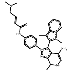 Cc1c(-c2c3c(nn2-c2ccc(NC(=O)/C=C/CN(C)C)cc2)C(C)NN=C3N)n(C)c2ccccc12